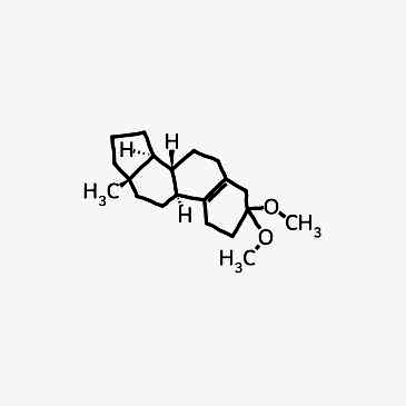 COC1(OC)CCC2=C(CC[C@@H]3[C@@H]2CC[C@]2(C)CCC[C@@H]32)C1